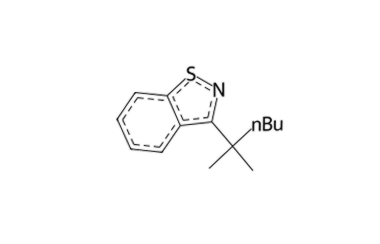 CCCCC(C)(C)c1nsc2ccccc12